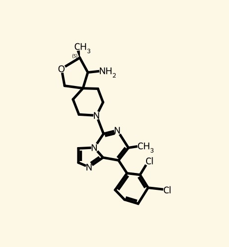 Cc1nc(N2CCC3(CC2)CO[C@@H](C)C3N)n2ccnc2c1-c1cccc(Cl)c1Cl